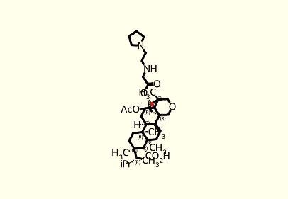 CC(=O)O[C@@H]1C[C@@]23COC[C@](C)([C@@H]2CC[C@H]2C3=CC[C@@]3(C)[C@H](C(=O)O)[C@@](C)([C@H](C)C(C)C)CC[C@]23C)[C@H]1OC(=O)CNCCN1CCCC1